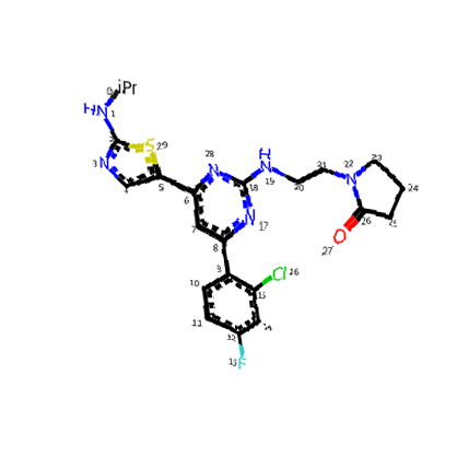 CC(C)Nc1ncc(-c2cc(-c3ccc(F)cc3Cl)nc(NCCN3CCCC3=O)n2)s1